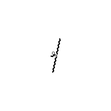 CCCCCCCCCCN(CCCCCCCCCC)C(=O)CC